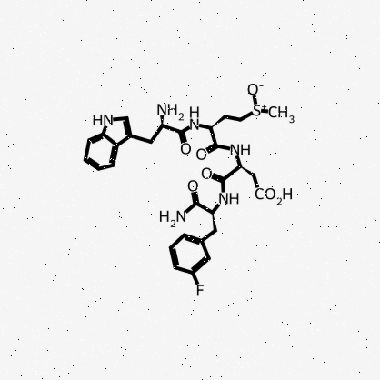 C[S+]([O-])CC[C@H](NC(=O)[C@H](N)Cc1c[nH]c2ccccc12)C(=O)N[C@@H](CC(=O)O)C(=O)N[C@@H](Cc1cccc(F)c1)C(N)=O